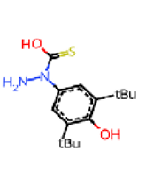 CC(C)(C)c1cc(N(N)C(O)=S)cc(C(C)(C)C)c1O